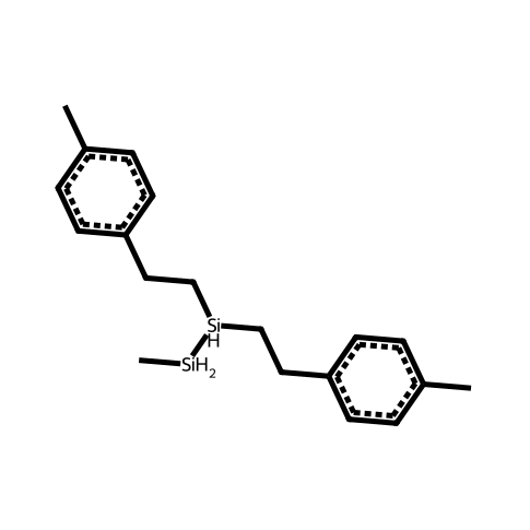 C[SiH2][SiH](CCc1ccc(C)cc1)CCc1ccc(C)cc1